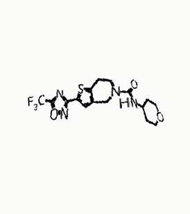 O=C(NC1CCOCC1)N1CCc2sc(-c3noc(C(F)(F)F)n3)cc2C1